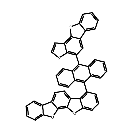 c1ccc2c(c1)oc1c2ccc2c1oc1cccc(-c3c4ccccc4c(-c4cc5c6ccccc6sc5c5ccsc45)c4ccccc34)c12